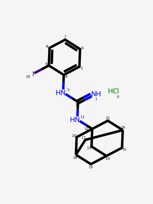 Cl.N=C(Nc1ccccc1I)NC12CC3CC(CC(C3)C1)C2